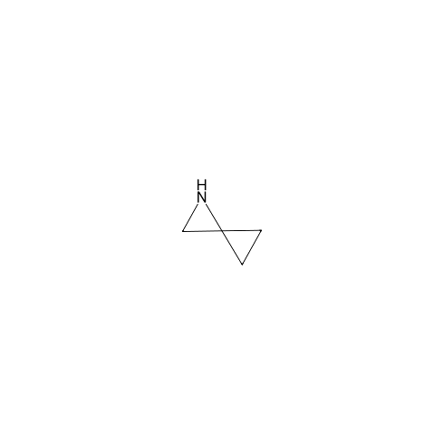 C1CC12CN2